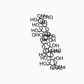 CO[C@@H]1OC(CO)C([C@@H]2OC(C=O)CC(O)(O[C@@H]3OC(CO)C([C@@H]4OC(C=O)C[C@](O)(O[C@@H]5OC(CO)C([C@@H]6OC(C=O)[C@@H](OC)C(O)C6O)OC(CO)C5NC(C)=O)C4O)OC(CO)C3NC(C)=O)C2O)OC(CO)C1NC(C)=O